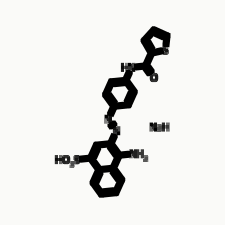 Nc1c(N=Nc2ccc(NC(=O)c3cccs3)cc2)cc(S(=O)(=O)O)c2ccccc12.[NaH]